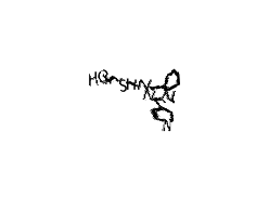 OCCSCCNc1nc(-c2ccncc2)nc2ccccc12